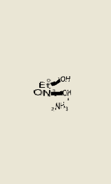 CCO.N.O=NO